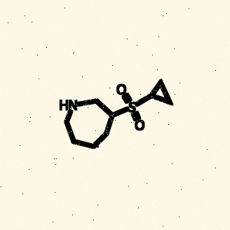 O=S(=O)(C1CC1)C1C[CH]CCNC1